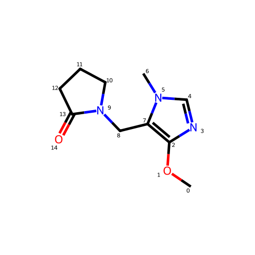 COc1ncn(C)c1CN1CCCC1=O